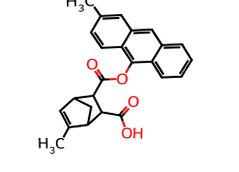 CC1=CC2CC1C(C(=O)O)C2C(=O)Oc1c2ccccc2cc2cc(C)ccc12